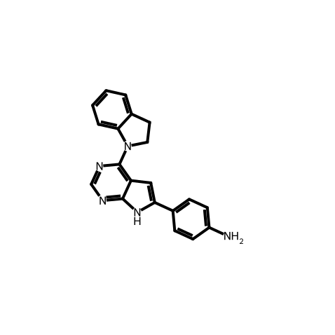 Nc1ccc(-c2cc3c(N4CCc5ccccc54)ncnc3[nH]2)cc1